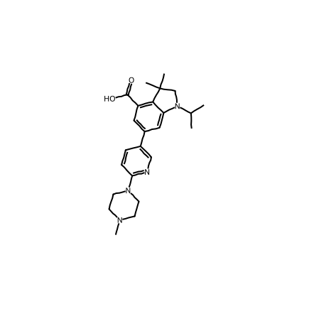 CC(C)N1CC(C)(C)c2c(C(=O)O)cc(-c3ccc(N4CCN(C)CC4)nc3)cc21